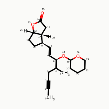 CC#CCC(C)[C@@H](/C=C/[C@H]1CC[C@@H]2OC(=O)C[C@@H]21)OC1CCCCO1